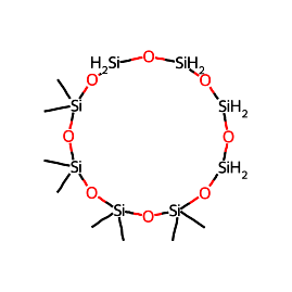 C[Si]1(C)O[SiH2]O[SiH2]O[SiH2]O[SiH2]O[Si](C)(C)O[Si](C)(C)O[Si](C)(C)O1